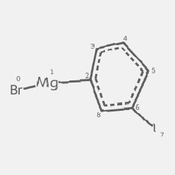 [Br][Mg][c]1cccc(I)c1